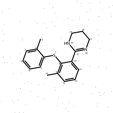 Cc1ccccc1Sc1c(C)cccc1C1=NCCCN1